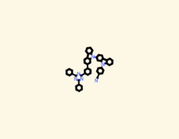 N#Cc1ccc(-n2c3ccccc3c3ccc(-n4c5ccccc5c5ccc(-c6cccc(-c7nc(-c8ccccc8)nc(-c8ccccc8)n7)c6)cc54)cc32)cc1